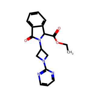 CCOC(=O)C1c2ccccc2C(=O)N1C1CN(c2ncccn2)C1